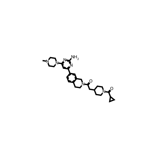 CN1CCN(c2cc(-c3ccc4c(c3)CN(C(=O)CC3CCN(C(=O)C5CC5)CC3)CC4)nc(N)n2)CC1